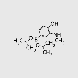 CNc1cc(B(OC(C)C)OC(C)C)ccc1O